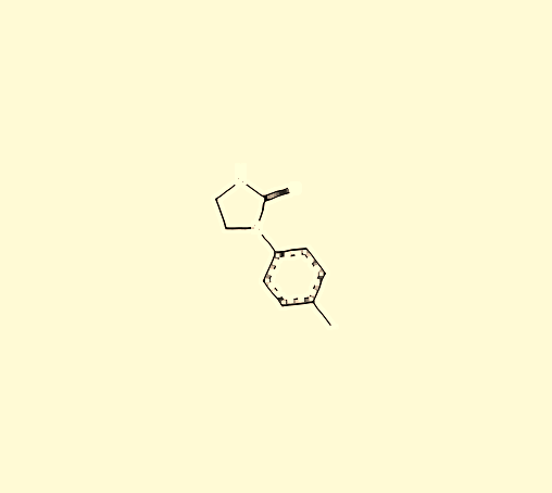 [CH2]c1ccc(N2CCNC2=O)cc1